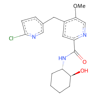 COc1cnc(C(=O)N[C@H]2CCCC[C@@H]2O)cc1Cc1ccc(Cl)nc1